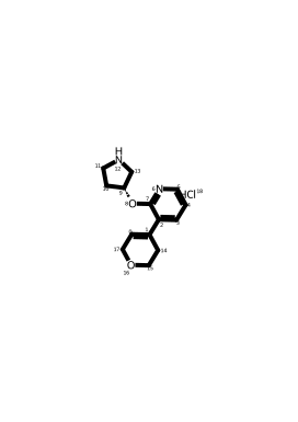 C1=C(c2cccnc2O[C@@H]2CCNC2)CCOC1.Cl